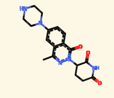 Cc1nn(C2CCC(=O)NC2=O)c(=O)c2ccc(N3CCNCC3)cc12